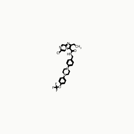 CCc1nc2cnc(Cl)cn2c1C(=O)NCc1ccc(N2CCN(c3ccc(OC(F)(F)F)cc3)CC2)cc1